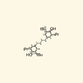 CC(C)c1cc(CCCCc2cc(C(C)C)c(O)c(C(C)(C)C)c2)cc(C(C)(C)C)c1O